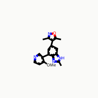 COc1ccncc1-c1cc(-c2c(C)noc2C)cc2[nH]c(C)nc12